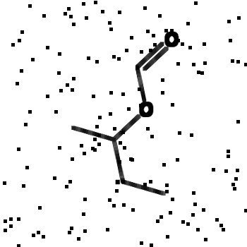 C[CH]C(C)OC=O